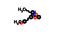 CCCCCc1ccnc2c1c1cc(/C=C/c3ccc(OC)cc3)ccc1n2S(=O)(=O)c1ccccc1